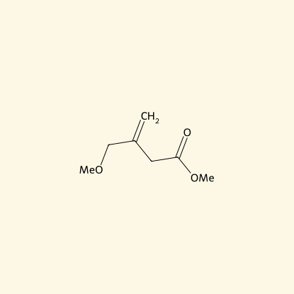 C=C(COC)CC(=O)OC